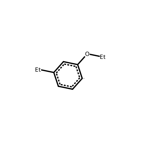 CCOc1[c]ccc(CC)c1